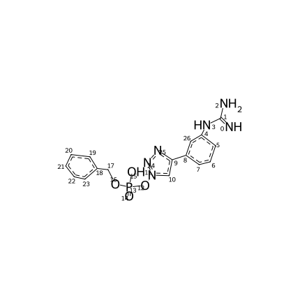 N=C(N)Nc1cccc(-c2cn(OP(=O)(O)OCc3ccccc3)nn2)c1